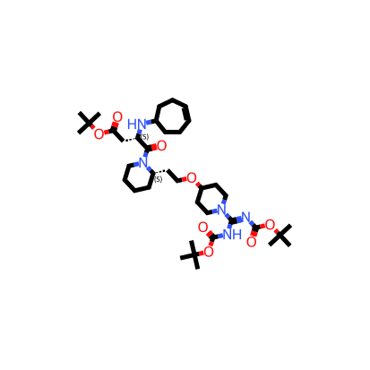 CC(C)(C)OC(=O)C[C@H](NC1CCC=CCC1)C(=O)N1CCCC[C@H]1CCOC1CCN(C(=NC(=O)OC(C)(C)C)NC(=O)OC(C)(C)C)CC1